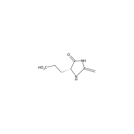 C=C1NC(=O)[C@@H](CCC(=O)O)N1